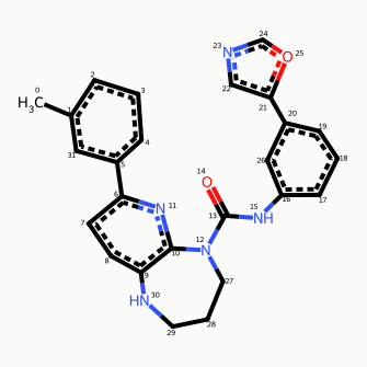 Cc1cccc(-c2ccc3c(n2)N(C(=O)Nc2cccc(-c4cnco4)c2)CCCN3)c1